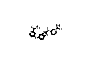 CNC(=O)c1cc(Oc2ccc3nc(N[C@H]4CCCN(C(O)=P)C4)sc3c2)ccn1